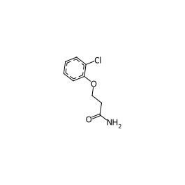 NC(=O)CCOc1ccccc1Cl